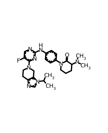 CC(C)n1cnc2c1CN(c1nc(Nc3ccc(N4CCCC(N(C)C)C4=O)cc3)ncc1F)CC2